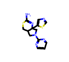 NC1=NC2(c3cncs3)CN(c3ncccn3)CC2CS1